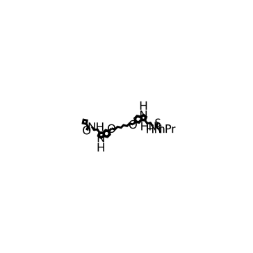 CCCNC(=S)NCCc1c[nH]c2ccc(OCCCCCCOc3ccc4[nH]cc(CCNC(=O)C5CCC5)c4c3)cc12